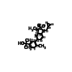 Cc1ccc(C(C)(C)O)cc1-c1ccc2c(n1)N(C)S(=O)(=O)N2CC1CC1